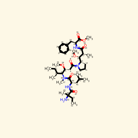 CC[C@H](C)[C@@H]([C@@H](CC(=O)N1CCC[C@H]1[C@H](OC)[C@@H](C)C(=O)N[C@@H](Cc1ccccc1)C(=O)OC)OC)N(C)C(=O)[C@H](CC(C)C)NC(=O)C(C)(N)CC